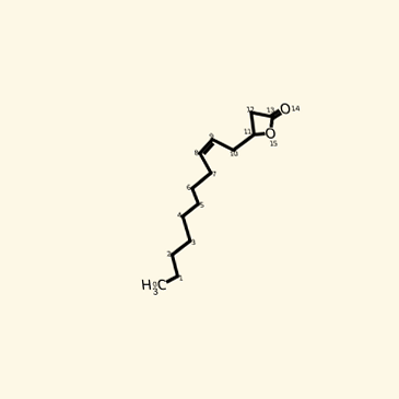 CCCCCCCC/C=C\CC1CC(=O)O1